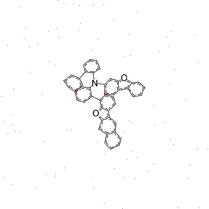 c1ccc(-c2ccccc2N(c2ccc3c(c2)oc2ccccc23)c2ccccc2-c2cccc3c2oc2cc4ccccc4cc23)cc1